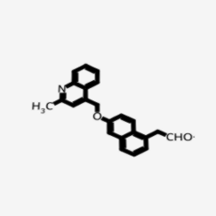 Cc1cc(COc2ccc3c(C[C]=O)cccc3c2)c2ccccc2n1